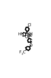 O=S(=O)(N[C@]1(c2ccc(Cl)cc2)CCNC1)c1ccc(Oc2ccc(C(F)(F)F)cc2)cc1